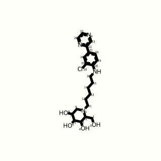 OCC1C(O)C(O)C(O)CN1CCCCCCNc1ccc(-c2cnccn2)cc1Cl